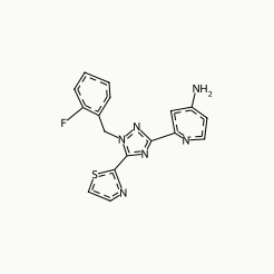 Nc1ccnc(-c2nc(-c3nccs3)n(Cc3ccccc3F)n2)c1